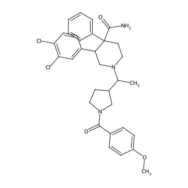 COc1ccc(C(=O)N2CCC(C(C)N3CCC(C(N)=O)(c4ccccc4)C(c4ccc(Cl)c(Cl)c4)C3)C2)cc1